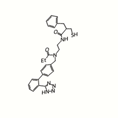 CCC(=O)N(CCNC(=O)C(CS)Cc1ccccc1)Cc1ccc(-c2ccccc2-c2nnn[nH]2)cc1